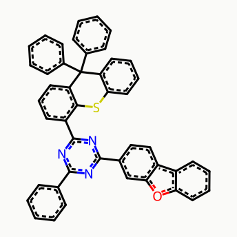 c1ccc(-c2nc(-c3ccc4c(c3)oc3ccccc34)nc(-c3cccc4c3Sc3ccccc3C4(c3ccccc3)c3ccccc3)n2)cc1